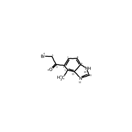 Cc1c(C(=O)CBr)ccc2[nH]cnc12